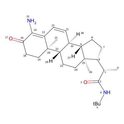 C[C@H](C(=O)NC(C)(C)C)[C@H]1CC[C@H]2[C@@H]3C=CC4=C(N)C(=O)CC[C@]4(C)[C@H]3CC[C@]12C